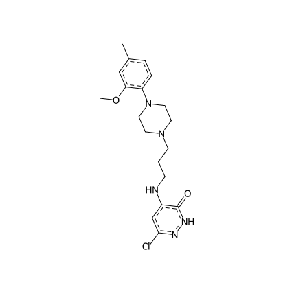 COc1cc(C)ccc1N1CCN(CCCNc2cc(Cl)n[nH]c2=O)CC1